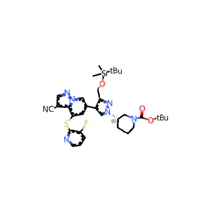 CC(C)(C)OC(=O)N1CCC[C@H](n2cc(-c3cc(Sc4ncccc4F)c4c(C#N)cnn4c3)c(CO[Si](C)(C)C(C)(C)C)n2)C1